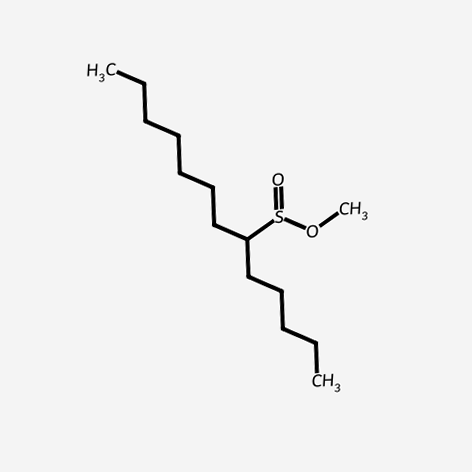 CCCCCCCC(CCCCC)S(=O)OC